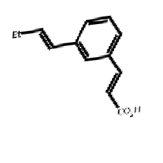 CCC=Cc1cccc(C=CC(=O)O)c1